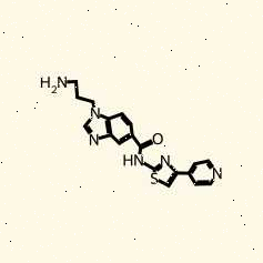 NCCCn1cnc2cc(C(=O)Nc3nc(-c4ccncc4)cs3)ccc21